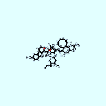 CCNC1COC(OC2C(O[C@H]3C#C/C=C\C#CC4=C(NC(=O)OC)C(=O)C[C@H](O)/C(=C/CSC(C)=O)C43)OC(C)C(SC)(C(=O)c3nccc4c3[nH]c3ccc(O)cc34)C2O)CC1OC